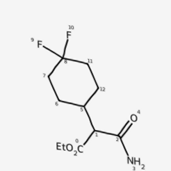 CCOC(=O)C(C(N)=O)C1CCC(F)(F)CC1